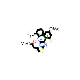 COC(=O)Cc1csc2nc(-c3c(F)cc(OC)cc3F)c(Nc3c(C)cccc3Cl)n12